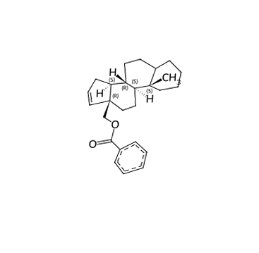 C[C@]12CCCCC1CC[C@H]1[C@@H]3CC=C[C@@]3(COC(=O)c3ccccc3)CC[C@@H]12